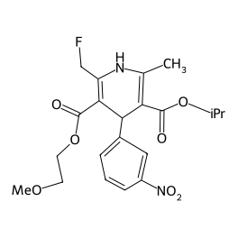 COCCOC(=O)C1=C(CF)NC(C)=C(C(=O)OC(C)C)C1c1cccc([N+](=O)[O-])c1